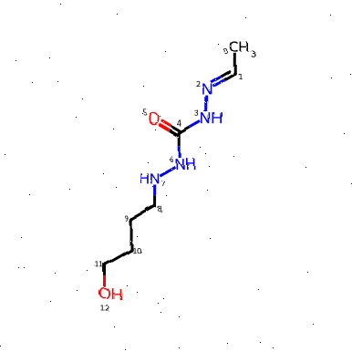 CC=NNC(=O)NNCCCCO